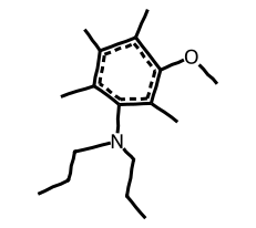 CCCN(CCC)c1c(C)c(C)c(C)c(OC)c1C